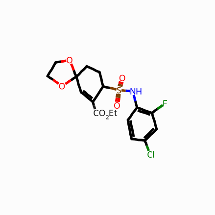 CCOC(=O)C1=CC2(CCC1S(=O)(=O)Nc1ccc(Cl)cc1F)OCCO2